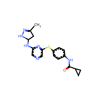 CC1=NNC(Nc2cncc(Sc3ccc(NC(=O)C4CC4)cc3)n2)C1